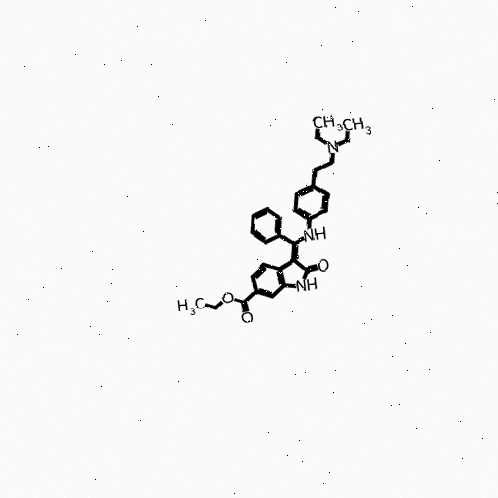 CCOC(=O)c1ccc2c(c1)NC(=O)/C2=C(\Nc1ccc(CCN(CC)CC)cc1)c1ccccc1